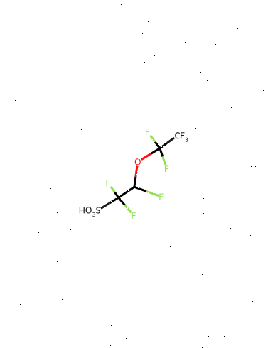 O=S(=O)(O)C(F)(F)C(F)OC(F)(F)C(F)(F)F